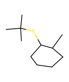 CC1CCCCC1SC(C)(C)C